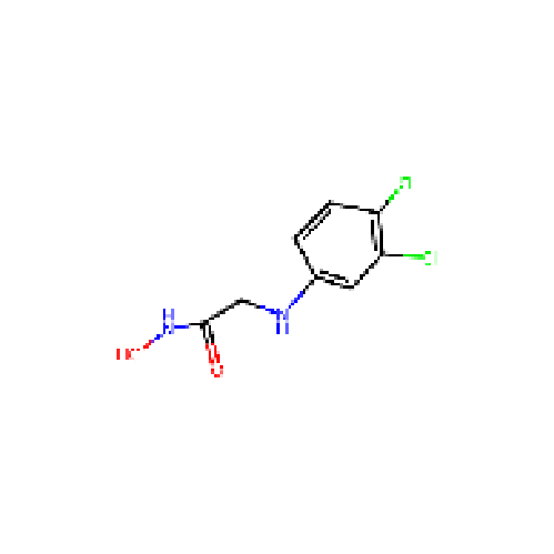 O=C(CNc1ccc(Cl)c(Cl)c1)NO